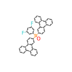 O=P(c1cc(F)cc(F)c1)(c1ccc2c3ccccc3c3ccccc3c2c1)c1ccc2c3ccccc3c3ccccc3c2c1